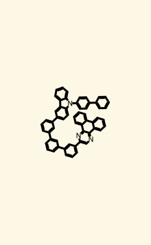 c1ccc(-c2ccc(-n3c4ccccc4c4cc(-c5cccc(-c6cccc(-c7cccc(-c8cnc9c%10ccccc%10c%10ccccc%10c9n8)c7)c6)c5)ccc43)cc2)cc1